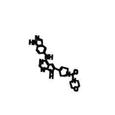 O=C(N1CC=C(c2cc3c(Nc4ccc5[nH]ncc5c4)ncnc3[nH]2)CC1)N1CCOCC1